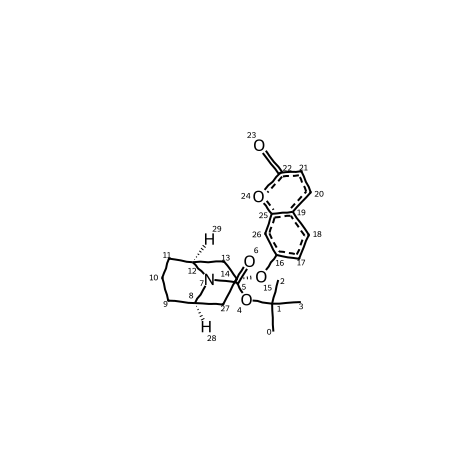 CC(C)(C)OC(=O)N1[C@@H]2CCC[C@H]1C[C@H](Oc1ccc3ccc(=O)oc3c1)C2